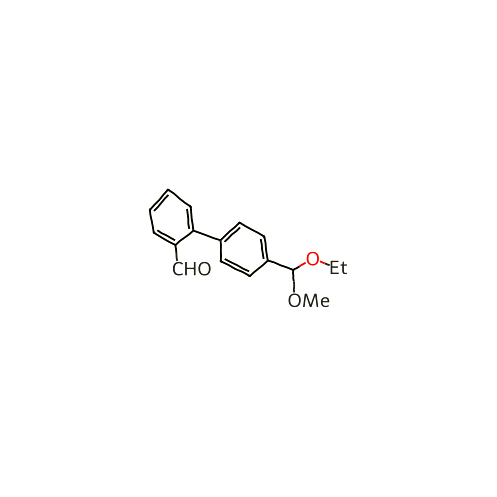 CCOC(OC)c1ccc(-c2ccccc2C=O)cc1